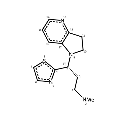 CNCC[C@H](c1nccs1)N1CCc2ncccc21